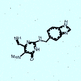 CNc1c(C=N)nc(NCc2ccc3[nH]cnc3c2)[nH]c1=O